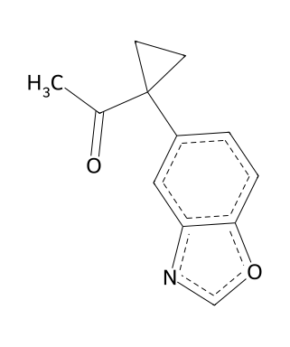 CC(=O)C1(c2ccc3ocnc3c2)CC1